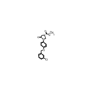 COC(=O)[C@H]1CC(=O)N(c2ccc(OCc3cccc(Cl)c3)cc2)C1